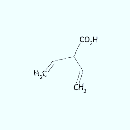 C=CC(C=C)C(=O)O